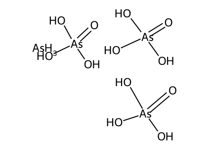 O=[As](O)(O)O.O=[As](O)(O)O.O=[As](O)(O)O.[AsH3]